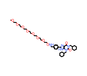 COCCOCCOCCOCCOCCOCCOCCONCc1ccc(-c2nc3c(=O)n(CC4CCCCC4)c(=O)n(CC4CCCCC4)c3[nH]2)cc1